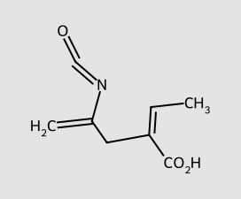 C=C(C/C(=C/C)C(=O)O)N=C=O